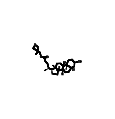 C[C@H](CCC(=O)OCC1(C)COC1)[C@H]1CC[C@H]2[C@@H]3CC[C@@H]4C[C@H](O)CC[C@]4(C)[C@H]3CC[C@]12C